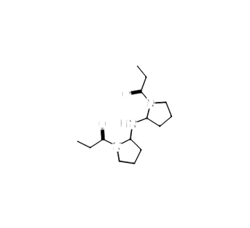 CCC(=O)N1CCCC1NC1CCCN1C(=O)CC